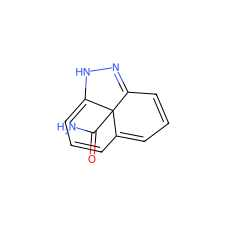 NC(=O)C12C3=CC=CC1=NNC2=CC=C3